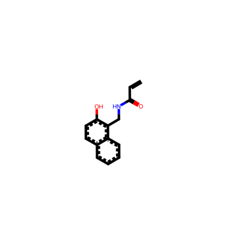 C=CC(=O)NCc1c(O)ccc2ccccc12